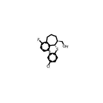 OC[C@@H]1CCCc2c(F)ccc(F)c2[C@H]1Sc1ccc(Cl)cc1